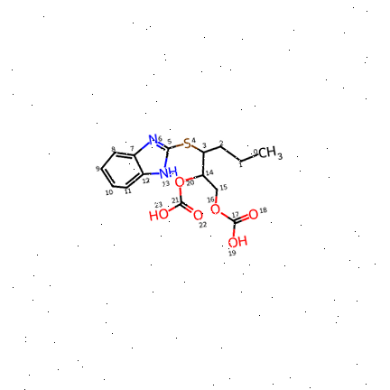 CCCC(Sc1nc2ccccc2[nH]1)C(COC(=O)O)OC(=O)O